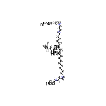 CCCC/C=C/C/C=C\CCCCCCCCC(CCCCCCC/C=C/C/C=C\CCCCC)N[S+]([O-])CCCN(C)C